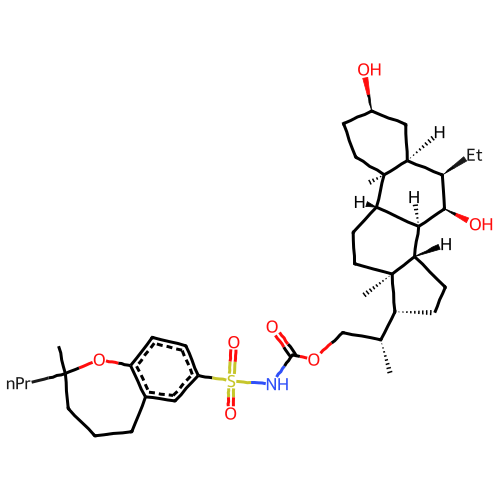 CCCC1(C)CCCc2cc(S(=O)(=O)NC(=O)OC[C@@H](C)[C@H]3CC[C@H]4[C@@H]5[C@H](O)[C@H](CC)[C@@H]6C[C@H](O)CC[C@]6(C)[C@H]5CC[C@]34C)ccc2O1